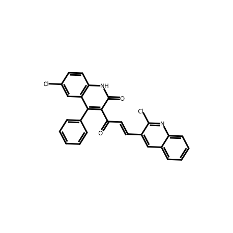 O=C(C=Cc1cc2ccccc2nc1Cl)c1c(-c2ccccc2)c2cc(Cl)ccc2[nH]c1=O